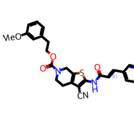 COc1cccc(CCOC(=O)N2CCc3c(sc(NC(=O)/C=C/c4cccnc4)c3C#N)C2)c1